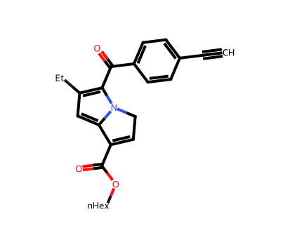 C#Cc1ccc(C(=O)c2c(CC)cc3n2CC=C3C(=O)OCCCCCC)cc1